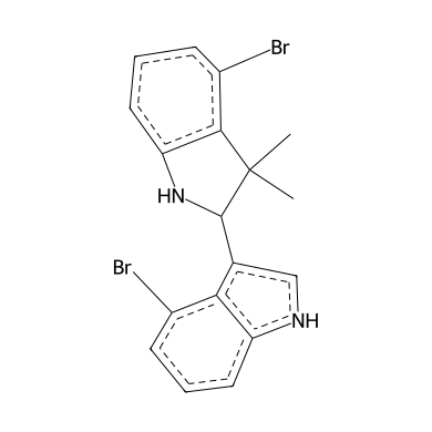 CC1(C)c2c(Br)cccc2NC1c1c[nH]c2cccc(Br)c12